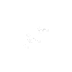 COC[C@@H]1CCCC[C@H]1n1cnc(C(=O)N2CCNC[C@H]2CCOc2ccc(C(N)=O)cc2OC)c1-c1ccccc1